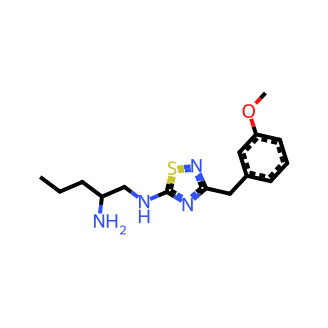 CCCC(N)CNc1nc(Cc2cccc(OC)c2)ns1